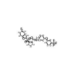 O=C(NCc1ccc(Oc2cccc(C(F)(F)F)c2)cc1)[C@@H]1CCCN1S(=O)(=O)c1cc2cc(F)ccc2o1